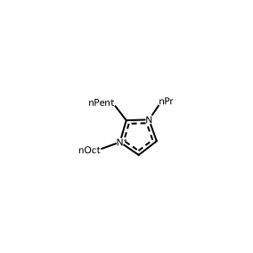 CCCCCCCC[n+]1ccn(CCC)c1CCCCC